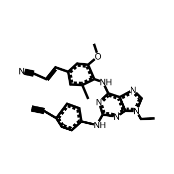 C#Cc1ccc(Nc2nc(Nc3c(C)cc(/C=C/C#N)cc3OC)c3ncn(CC)c3n2)cc1